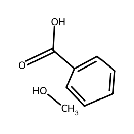 CO.O=C(O)c1ccccc1